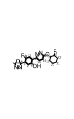 Oc1cc(-c2nnco2)c(F)cc1-c1ccc(O[C@@H]2CCCC[C@@H]2F)nn1